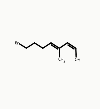 CC(/C=C\O)=C\CCCBr